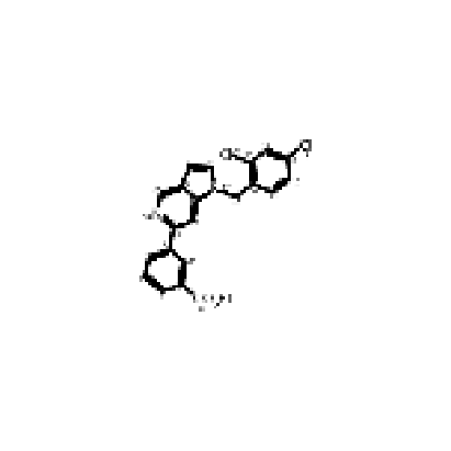 CCOC(=O)c1cccc(-c2cc3c(ccn3Cc3ccc(Cl)cc3Cl)cn2)c1